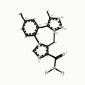 CCN(CC)C(=O)c1ncn2c1Cn1nnc(C)c1-c1cc(C)ccc1-2